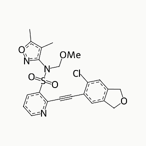 COCN(c1noc(C)c1C)S(=O)(=O)c1cccnc1C#Cc1cc2c(cc1Cl)COC2